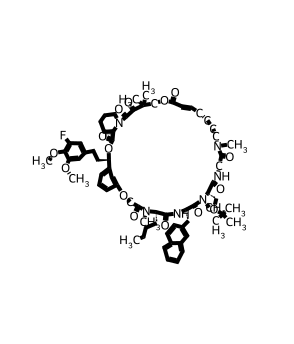 CCCC[C@H]1C(=O)N[C@@H](Cc2ccc3ccccc3c2)C(=O)N(C)[C@@H](COC(C)(C)C)C(=O)NCC(=O)N(C)CCCC/C=C/C(=O)OCC(C)(C)C(=O)C(=O)N2CCCC[C@H]2C(=O)O[C@H](CCc2cc(F)c(OC)c(OC)c2)c2cccc(c2)OCC(=O)N1C